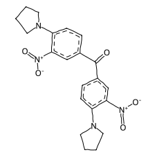 O=C(c1ccc(N2CCCC2)c([N+](=O)[O-])c1)c1ccc(N2CCCC2)c([N+](=O)[O-])c1